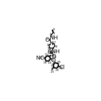 C=CCNC(=O)N1CCC(NS(=O)(=O)c2cc(C#N)ccc2Oc2cc(C)cc(Cl)c2)CC1